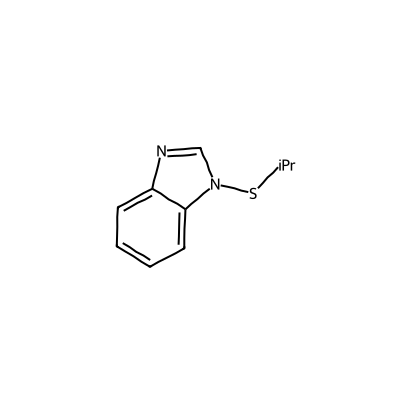 [CH2]C(C)Sn1cnc2ccccc21